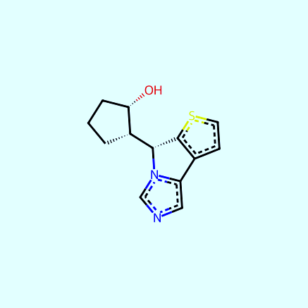 O[C@H]1CCC[C@H]1[C@@H]1c2sccc2-c2cncn21